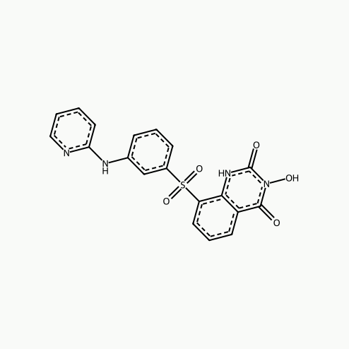 O=c1[nH]c2c(S(=O)(=O)c3cccc(Nc4ccccn4)c3)cccc2c(=O)n1O